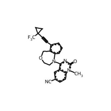 Cn1c(=O)nc(N2CCOCc3c(C#CC4(C(F)(F)F)CC4)cccc32)c2cc(C#N)ccc21